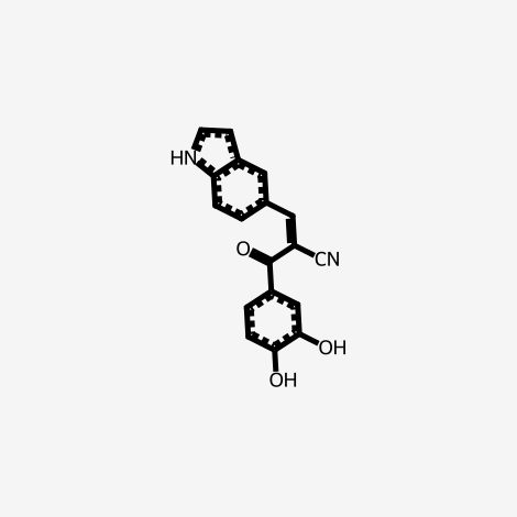 N#CC(=Cc1ccc2[nH]ccc2c1)C(=O)c1ccc(O)c(O)c1